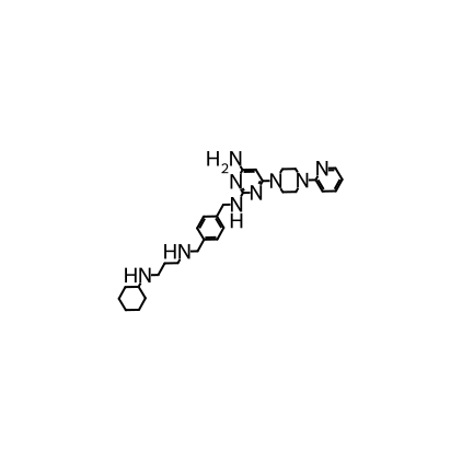 Nc1cc(N2CCN(c3ccccn3)CC2)nc(NCc2ccc(CNCCCNC3CCCCC3)cc2)n1